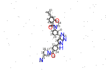 Cc1c(-c2ncnc3[nH]c(-c4ccc(C(=O)N5CCCC(C#N)C5)cc4)cc23)cccc1N1CCOc2cc(C3CC3)ccc2C1=O